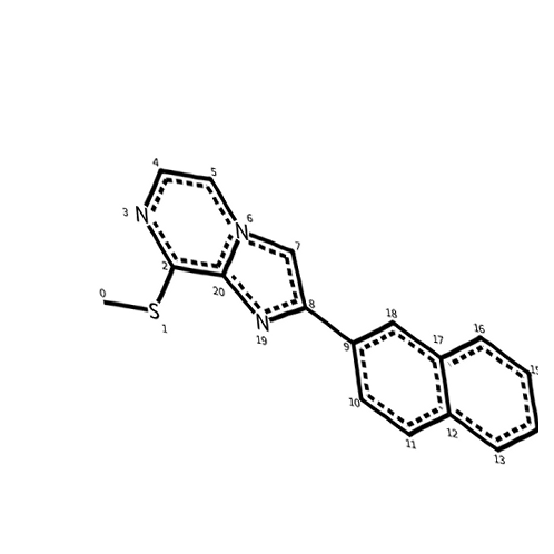 CSc1nccn2cc(-c3ccc4ccccc4c3)nc12